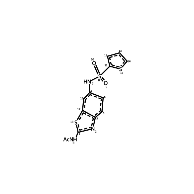 CC(=O)Nc1nc2ccc(NS(=O)(=O)c3cccs3)cc2s1